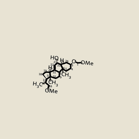 COCO[C@H]1CC[C@]2(C)C3CC[C@]4(C)[C@@H]([C@H](C)COC)CC[C@H]4C3=C[C@H](O)[C@H]2C1